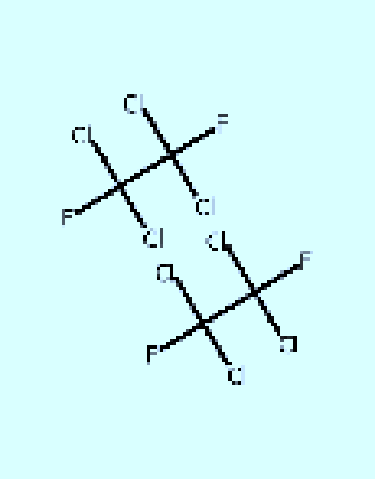 FC(Cl)(Cl)C(F)(Cl)Cl.FC(Cl)(Cl)C(F)(Cl)Cl